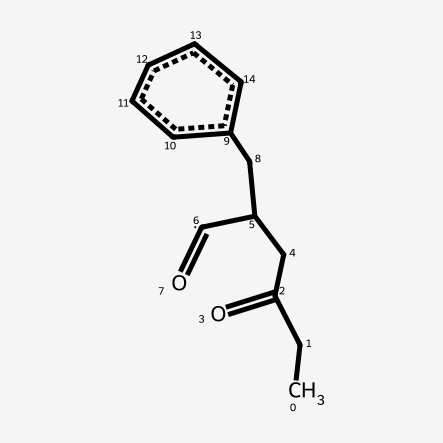 CCC(=O)CC([C]=O)Cc1ccccc1